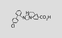 O=C(O)c1ccc2c(c1)CC[C@H]1CN(Cc3ccccc3-c3ccc(Cl)cc3)CCN21